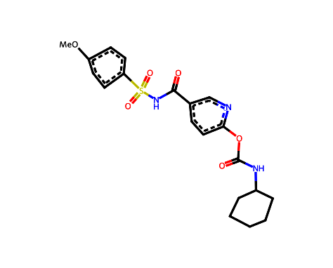 COc1ccc(S(=O)(=O)NC(=O)c2ccc(OC(=O)NC3CCCCC3)nc2)cc1